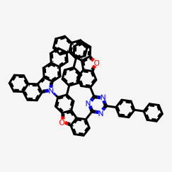 c1ccc(-c2ccc(-c3nc(-c4ccc5c(c4)oc4ccccc45)nc(-c4cccc5oc6cc(-n7c8cc9ccccc9cc8c8c9ccccc9ccc87)c(-c7ccc(-c8cccc9ccccc89)cc7)cc6c45)n3)cc2)cc1